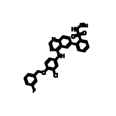 CC(C)(C)NS(=O)(=O)c1ccccc1-c1ccc2ncnc(Nc3ccc(OCc4cccc(F)c4)c(Cl)c3)c2c1